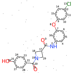 O=C(Nc1cccc(Oc2ccc(Cl)cc2)c1)C1CN(C(=O)c2ccc(O)cc2)C1